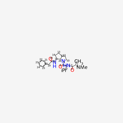 CN[C@@H](C)C(=O)N[C@H](C(=O)N1CCC2CCC(NC(=O)Cc3ccccc3)C21)C(C)C